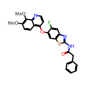 COc1ccc2c(Oc3cc4sc(NC(=O)Cc5ccccc5)nc4cc3F)ccnc2c1OC